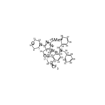 CSc1nc2c(c(N3CCCOCC3)n1)CO[C@@]1(CC[C@H](C(F)(F)F)c3ccc(N(Cc4ccccc4)Cc4ccccc4)c(Br)c31)C2